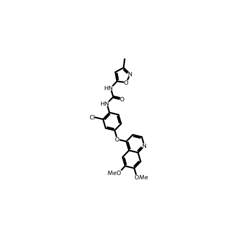 COc1cc2nccc(Oc3ccc(NC(=O)Nc4cc(C)no4)c(Cl)c3)c2cc1OC